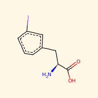 N[C@@H](Cc1cccc(I)c1)C(=O)O